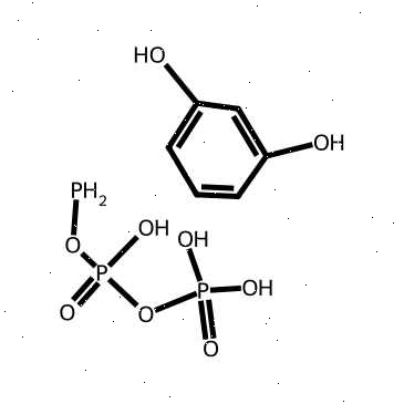 O=P(O)(O)OP(=O)(O)OP.Oc1cccc(O)c1